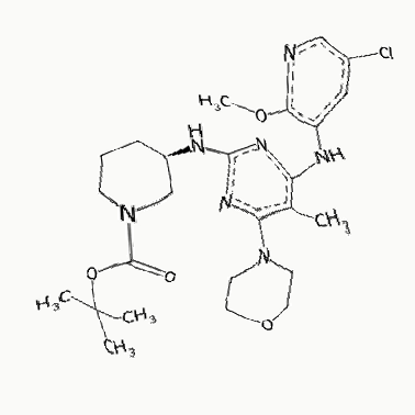 COc1ncc(Cl)cc1Nc1nc(N[C@@H]2CCCN(C(=O)OC(C)(C)C)C2)nc(N2CCOCC2)c1C